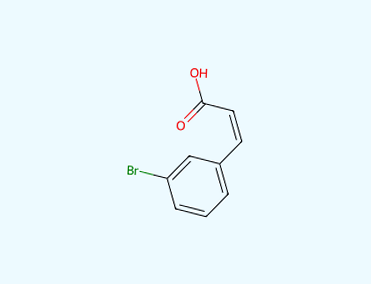 O=C(O)/C=C\c1cccc(Br)c1